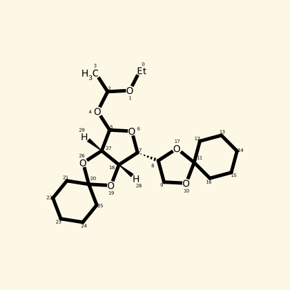 CCOC(C)OC1O[C@H](C2COC3(CCCCC3)O2)[C@@H]2OC3(CCCCC3)O[C@H]12